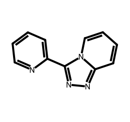 c1ccc(-c2nnc3ccccn23)nc1